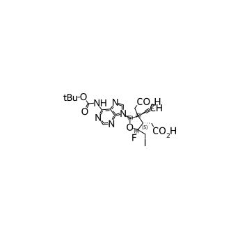 C#C[C@]1(CC(=O)O)[C@H](n2cnc3c(NC(=O)OC(C)(C)C)ncnc32)O[C@](F)(CI)[C@H]1CC(=O)O